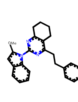 COc1cc2ccccc2n1-c1nc2c(c(CCc3ccccc3)n1)CCCC2